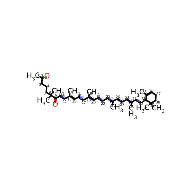 CC(=O)CCCC(C)(C)C(=O)/C=C/C(C)=C/C=C/C(C)=C/C=C/C=C(C)/C=C/C=C(C)/C=C/[C@H]1C(C)=CCCC1(C)C